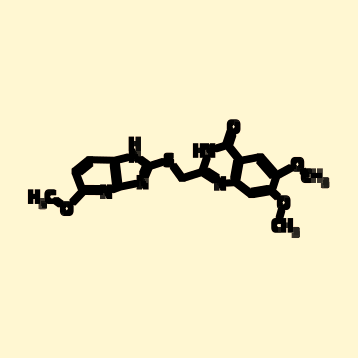 COc1ccc2[nH]c(SCc3nc4cc(OC)c(OC)cc4c(=O)[nH]3)nc2n1